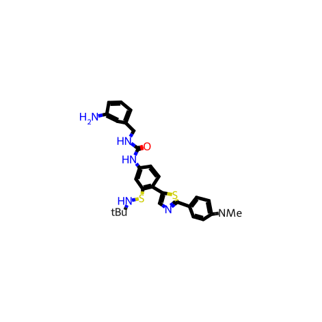 CNc1ccc(-c2ncc(-c3ccc(NC(=O)NCc4cccc(N)c4)cc3SNC(C)(C)C)s2)cc1